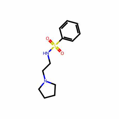 O=S(=O)(NCCN1CCCC1)c1cc[c]cc1